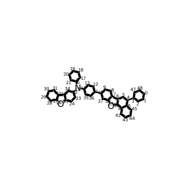 c1ccc(-c2cc3c4ccc(-c5ccc(N(c6ccccc6)c6ccc7oc8ccccc8c7c6)cc5)cc4oc3c3ccccc23)cc1